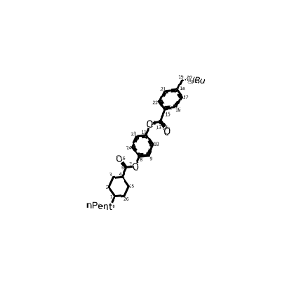 CCCCCC1CCC(C(=O)Oc2ccc(OC(=O)c3ccc(C[C@@H](C)CC)cc3)cc2)CC1